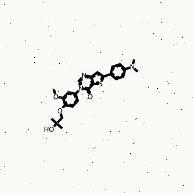 COc1cc(-n2cnc3cc(-c4ccc(N(C)C)cc4)sc3c2=O)ccc1OCC(C)(C)O